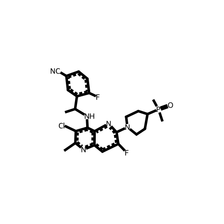 Cc1nc2cc(F)c(N3CCC(P(C)(C)=O)CC3)nc2c(NC(C)c2cc(C#N)ccc2F)c1Cl